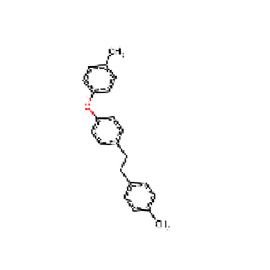 Cc1ccc(CCc2ccc(Oc3ccc(C)cc3)cc2)cc1